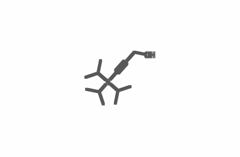 CC(C)S(C#CCO)(C(C)C)C(C)C